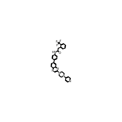 O=C(Cc1ccccc1C(F)(F)F)Nc1ccc(-c2ccc3ncc(N4CCN(c5ccncc5)CC4)nc3c2)cc1